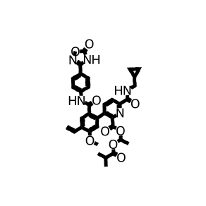 C=Cc1cc(C(=O)Nc2ccc(-c3noc(=O)[nH]3)cc2)c(-c2ccc(C(=O)NCC3CC3)nc2C(=O)OC(C)OC(=O)C(C)C)cc1OC